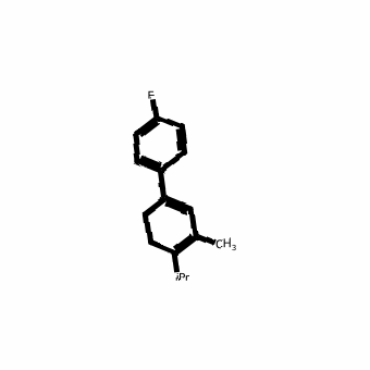 CC1=C(C(C)C)CCC(c2ccc(F)cc2)=C1